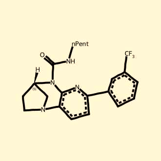 CCCCCNC(=O)N1c2nc(-c3cccc(C(F)(F)F)c3)ccc2N2CC[C@H]1C2